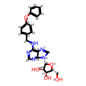 OC[C@H]1O[C@@H](n2cnc3c(NCc4ccc(Oc5ccccc5)cc4)ncnc32)[C@H](O)[C@@H]1O